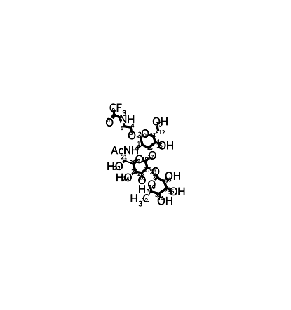 CC(=O)N[C@H]1[C@H](OCCNC(=O)C(F)(F)F)O[C@H](CO)[C@@H](O)[C@@H]1O[C@@H]1O[C@H](CO)[C@H](O)[C@H](O)[C@H]1O[C@@H]1O[C@@H](C)[C@@H](O)[C@@H](O)[C@@H]1O